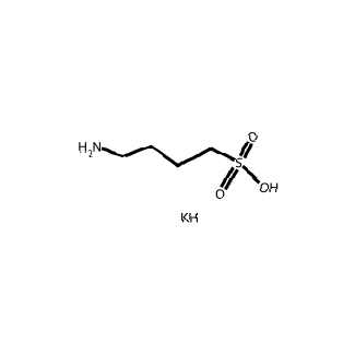 NCCCCS(=O)(=O)O.[KH]